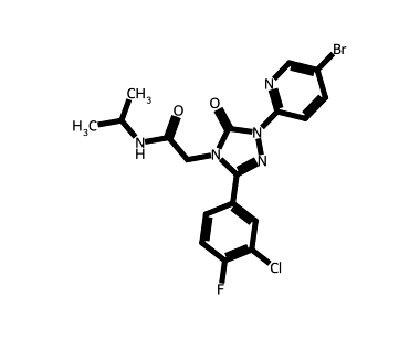 CC(C)NC(=O)Cn1c(-c2ccc(F)c(Cl)c2)nn(-c2ccc(Br)cn2)c1=O